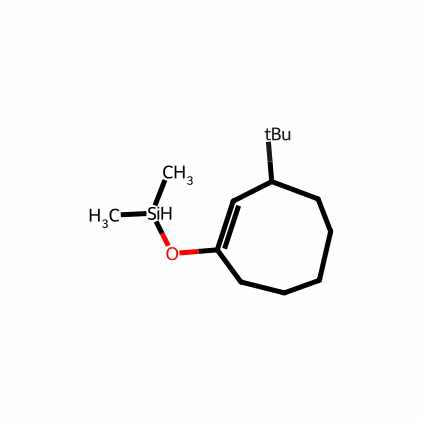 C[SiH](C)O/C1=C/C(C(C)(C)C)CCCCC1